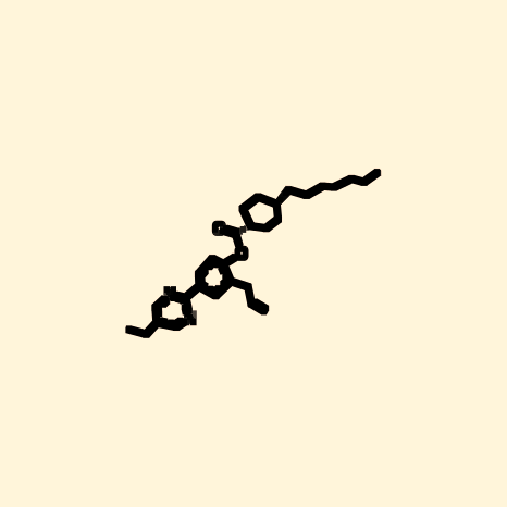 C=CCc1cc(-c2ncc(CC)cn2)ccc1OC(=O)[C@H]1CC[C@H](CCCCCCC)CC1